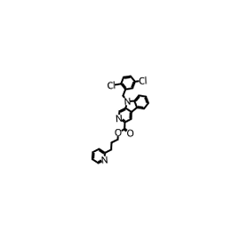 O=C(OCCCc1ccccn1)c1cc2c3ccccc3n(Cc3cc(Cl)ccc3Cl)c2cn1